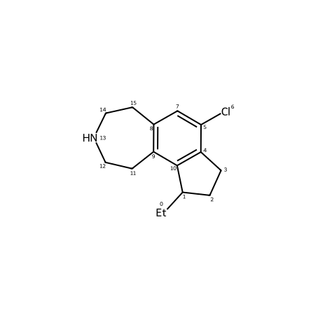 CCC1CCc2c(Cl)cc3c(c21)CCNCC3